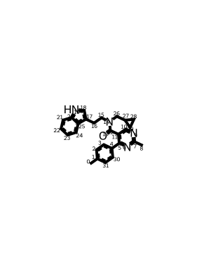 Cc1ccc(-c2nc(C)ncc2C(=O)N(CCc2c[nH]c3ccccc23)CC2CC2)cc1